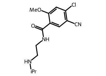 COc1cc(Cl)c(C#N)cc1C(=O)NCCNC(C)C